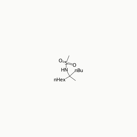 CCCCCCC(C)(CCCC)NS(C)(=O)=O